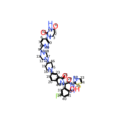 O=C1CCN(c2ccc(CN3CCN(C4CCN(c5ccc6c(c5)C(=O)N(C(C(=O)Nc5nccs5)c5cc(F)ccc5O)C6)CC4)CC3)nc2)C(=O)N1